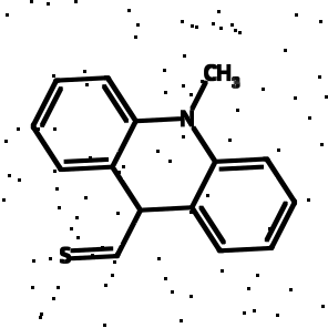 CN1c2ccccc2C(C=S)c2ccccc21